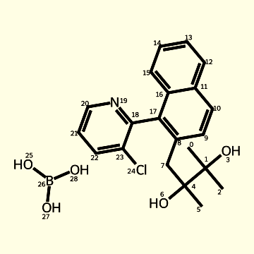 CC(C)(O)C(C)(O)Cc1ccc2ccccc2c1-c1ncccc1Cl.OB(O)O